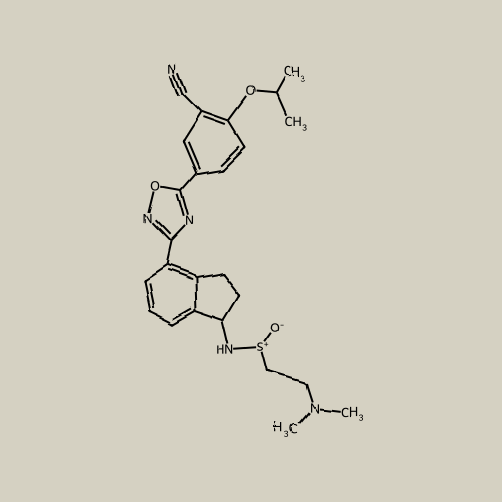 CC(C)Oc1ccc(-c2nc(-c3cccc4c3CCC4N[S+]([O-])CCN(C)C)no2)cc1C#N